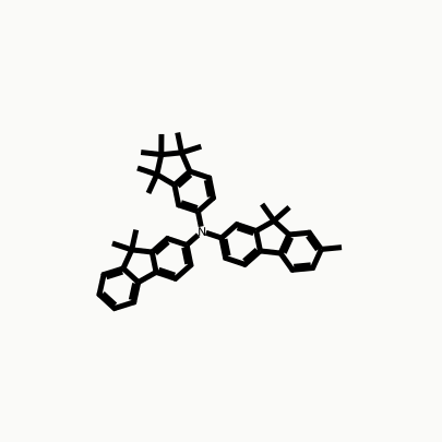 Cc1ccc2c(c1)C(C)(C)c1cc(N(c3ccc4c(c3)C(C)(C)c3ccccc3-4)c3ccc4c(c3)C(C)(C)C(C)(C)C4(C)C)ccc1-2